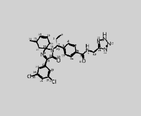 CC[C@H](c1ccc(C(=O)NCc2nn[nH]n2)cc1)N1C(=O)C(c2cc(Cl)cc(Cl)c2)=NC12CC=CC(C)C2